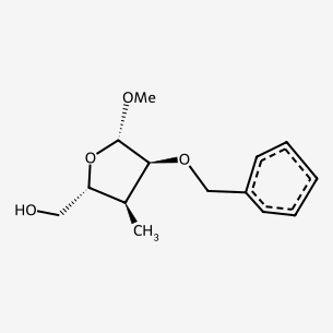 CO[C@H]1O[C@@H](CO)[C@H](C)[C@@H]1OCc1ccccc1